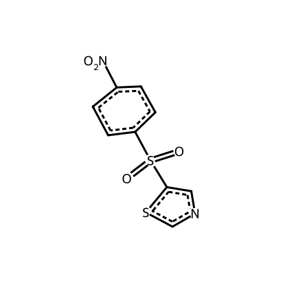 O=[N+]([O-])c1ccc(S(=O)(=O)c2cncs2)cc1